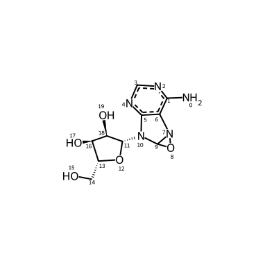 Nc1ncnc2c1N1OC1N2[C@@H]1O[C@H](CO)[C@@H](O)[C@H]1O